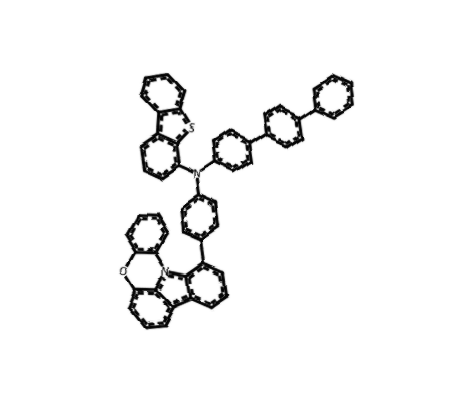 c1ccc(-c2ccc(-c3ccc(N(c4ccc(-c5cccc6c7cccc8c7n(c56)-c5ccccc5O8)cc4)c4cccc5c4sc4ccccc45)cc3)cc2)cc1